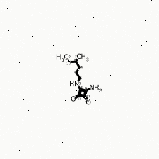 CSC(C)CCCNc1c(N)c(=O)c1=O